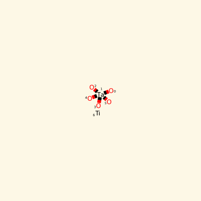 [O]=[Ta](=[O])(=[O])(=[O])=[O].[Ti]